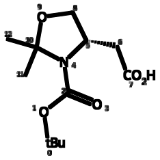 CC(C)(C)OC(=O)N1[C@@H](CC(=O)O)COC1(C)C